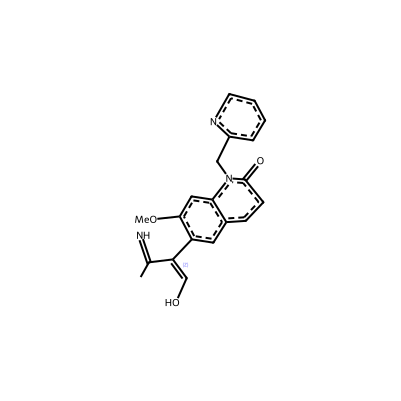 COc1cc2c(ccc(=O)n2Cc2ccccn2)cc1/C(=C/O)C(C)=N